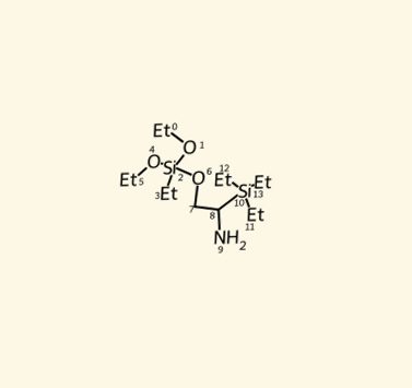 CCO[Si](CC)(OCC)OCC(N)[Si](CC)(CC)CC